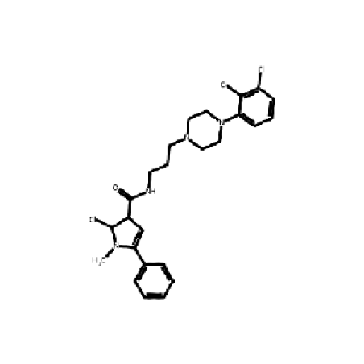 CN1C(c2ccccc2)=CC(C(=O)NCCCN2CCN(c3cccc(Cl)c3Cl)CC2)C1Cl